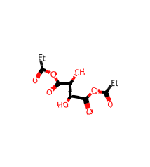 CCC(=O)OC(=O)C(O)C(O)C(=O)OC(=O)CC